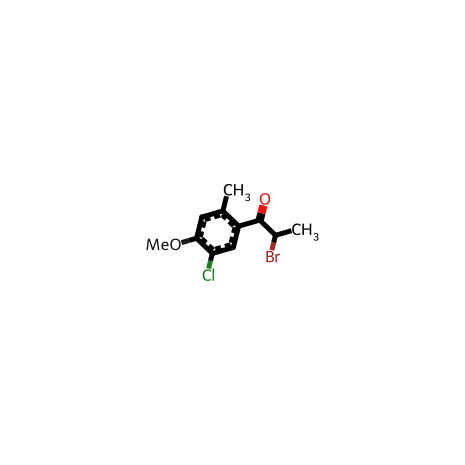 COc1cc(C)c(C(=O)C(C)Br)cc1Cl